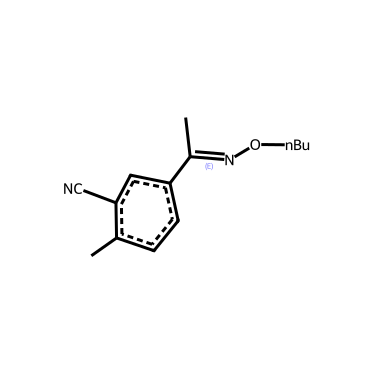 CCCCO/N=C(\C)c1ccc(C)c(C#N)c1